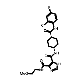 COCCNC(=O)c1nc[nH]c1C(=O)N[C@H]1CC[C@H](C(=O)Nc2ccc(F)cc2Cl)CC1